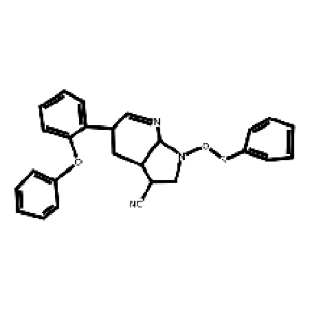 N#CC1CN(OSc2ccccc2)C2N=CC(c3ccccc3Oc3ccccc3)CC12